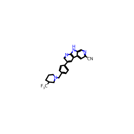 N#Cc1cc2c(cn1)[nH]c1ncc(-c3ccc(CN4CCCC(C(F)(F)F)C4)cc3)cc12